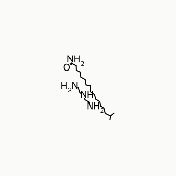 CC(C)CCCCCCCCCCCCCCC(N)=O.NCCNCCN